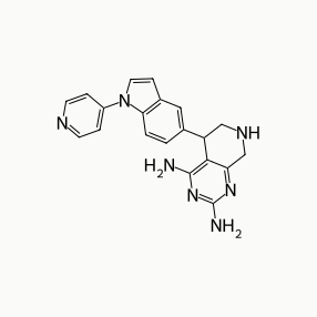 Nc1nc(N)c2c(n1)CNCC2c1ccc2c(ccn2-c2ccncc2)c1